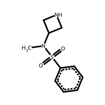 CN(C1CNC1)S(=O)(=O)c1ccccc1